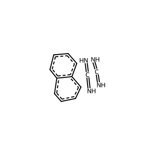 N=C=N.N=C=N.c1ccc2ccccc2c1